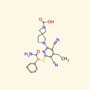 CCc1c(C#N)c(SC(C(N)=O)c2ccccc2)nc(N2CCC3(CN(C(=O)O)C3)C2)c1C#N